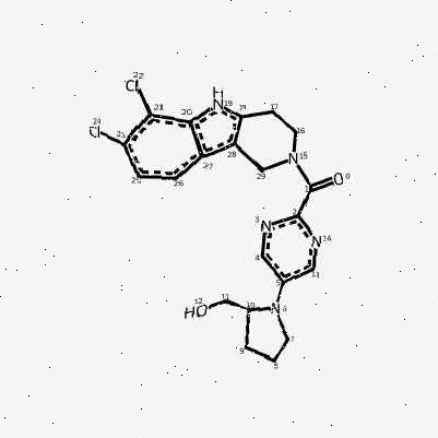 O=C(c1ncc(N2CCC[C@H]2CO)cn1)N1CCc2[nH]c3c(Cl)c(Cl)ccc3c2C1